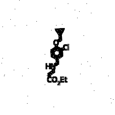 CCOC(=O)CCNCc1ccc(OCC2CC2)c(Cl)c1